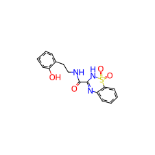 O=C(NCCc1ccccc1O)C1=Nc2ccccc2S(=O)(=O)N1